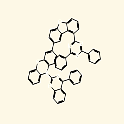 c1ccc(-c2nc(-c3ccccc3)nc(-c3cccc4oc5ccc(-c6ccc7c(c6)Sc6ccccc6N7c6nc(-c7ccccc7)c7ccccc7n6)cc5c34)n2)cc1